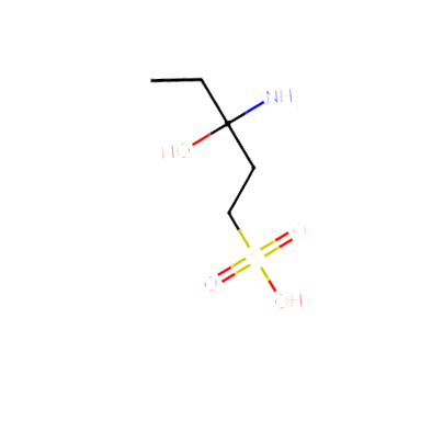 CCC(N)(O)CCS(=O)(=O)O